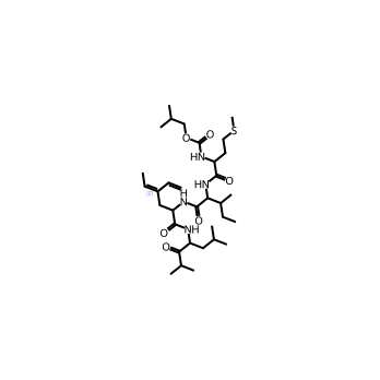 C=C/C(=C\C)CC(NC(=O)C(NC(=O)C(CCSC)NC(=O)OCC(C)C)C(C)CC)C(=O)NC(CC(C)C)C(=O)C(C)C